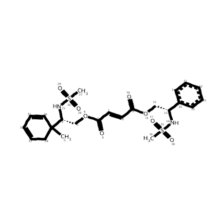 CC1([C@@H](COC(=O)/C=C/C(=O)OC[C@@H](NS(C)(=O)=O)c2ccccc2)NS(C)(=O)=O)C=CC=CC1